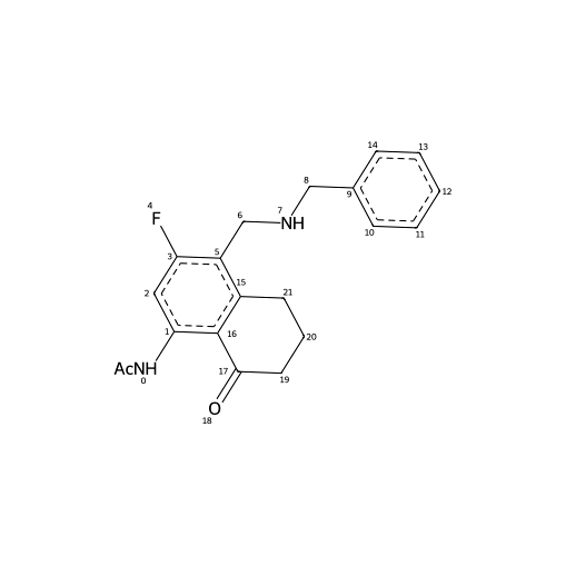 CC(=O)Nc1cc(F)c(CNCc2ccccc2)c2c1C(=O)CCC2